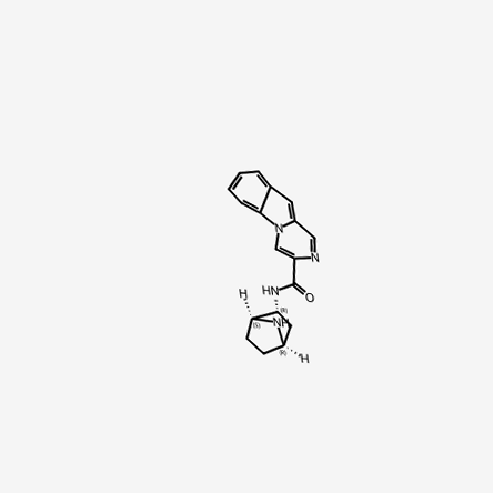 O=C(N[C@@H]1C[C@H]2CC[C@@H]1N2)c1cn2c(cn1)cc1ccccc12